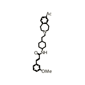 COc1cccc(C=CC(=O)NC2CCC(CCN3CCc4ccc(C(C)=O)cc4CC3)CC2)c1